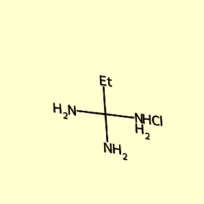 CCC(N)(N)N.Cl